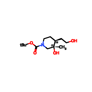 CC(C)(C)OC(=O)N1CC[C@@H](CCO)[C@@](C)(O)C1